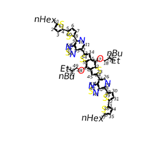 CCCCCCc1ccc(-c2ccc(-c3ncc(-c4cc5c(OCC(CC)CCCC)c6sc(-c7cnc(-c8ccc(-c9ccc(CCCCCC)s9)s8)c8nsnc78)cc6c(OCC(CC)CCCC)c5s4)c4nsnc34)s2)s1